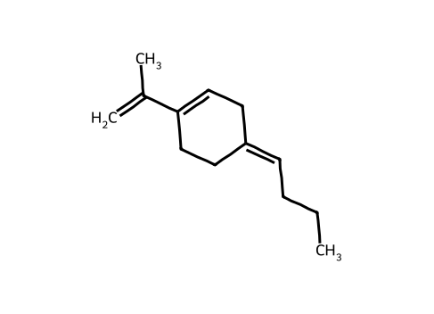 C=C(C)C1=CCC(=CCCC)CC1